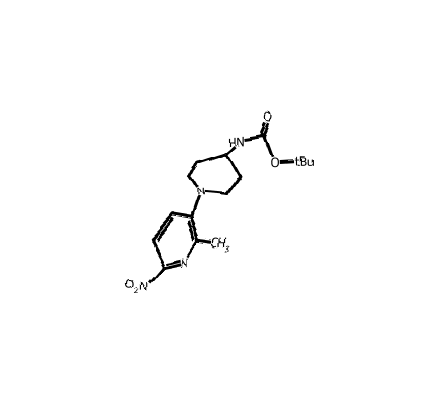 Cc1nc([N+](=O)[O-])ccc1N1CCC(NC(=O)OC(C)(C)C)CC1